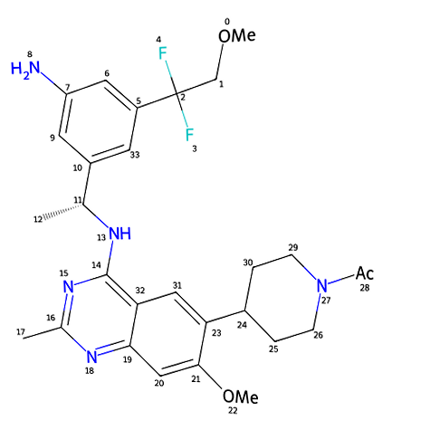 COCC(F)(F)c1cc(N)cc([C@@H](C)Nc2nc(C)nc3cc(OC)c(C4CCN(C(C)=O)CC4)cc23)c1